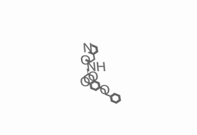 O=C(Cc1cccnc1)NC[C@@H]1COc2ccc(OCc3ccccc3)cc2O1